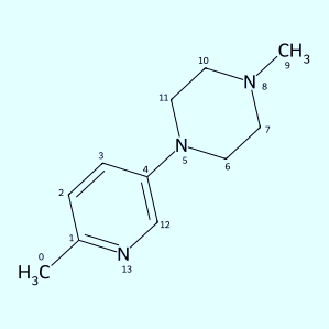 Cc1ccc(N2CCN(C)CC2)cn1